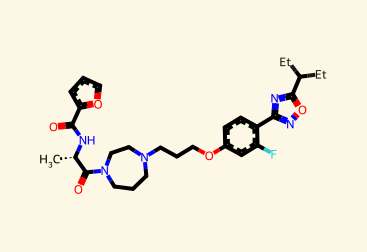 CCC(CC)c1nc(-c2ccc(OCCCN3CCCN(C(=O)[C@H](C)NC(=O)c4ccco4)CC3)cc2F)no1